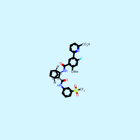 COc1cc(F)c(-c2cccc(C(=O)O)n2)cc1C(=O)N[C@H]1[C@@H](C(=O)Nc2cccc(S(=O)(=O)C(F)(F)F)c2)[C@@H]2C=C[C@H]1C2